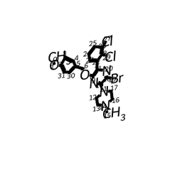 COc1ccc(COc2nc(N3CCN(C)CC3)c(Br)nc2-c2cccc(Cl)c2Cl)cc1